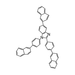 c1ccc2cc(-c3ccc(-c4nc5cc(-c6ccc7ccccc7c6)ccc5n4-c4ccc(-c5ccc6ccccc6c5)cc4)cc3)ccc2c1